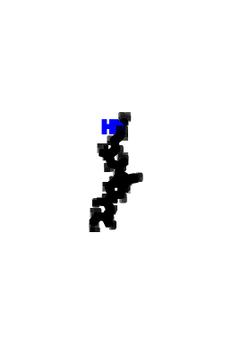 C=C1C2CC(C(C)CC(C)CC)CC2C1C(C)CC(C)CCCNC